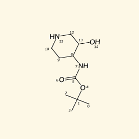 CC(C)(C)OC(=O)NC1CCNCC1O